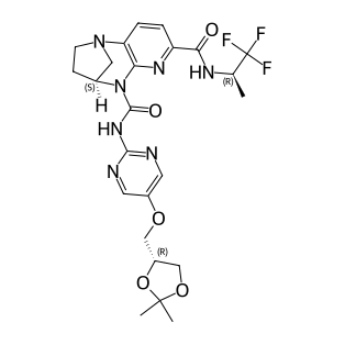 C[C@@H](NC(=O)c1ccc2c(n1)N(C(=O)Nc1ncc(OC[C@@H]3COC(C)(C)O3)cn1)[C@H]1CCN2C1)C(F)(F)F